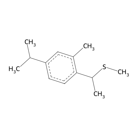 CSC(C)c1ccc(C(C)C)cc1C